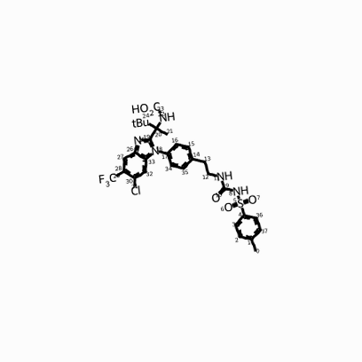 Cc1ccc(S(=O)(=O)NC(=O)NCCc2ccc(-n3c(C(C)(NC(=O)O)C(C)(C)C)nc4cc(C(F)(F)F)c(Cl)cc43)cc2)cc1